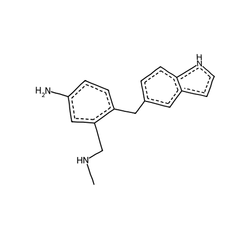 CNCc1cc(N)ccc1Cc1ccc2[nH]ccc2c1